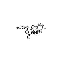 CCCCCCCCC1(C)OC(=O)N(Nc2ccccc2)C1=O